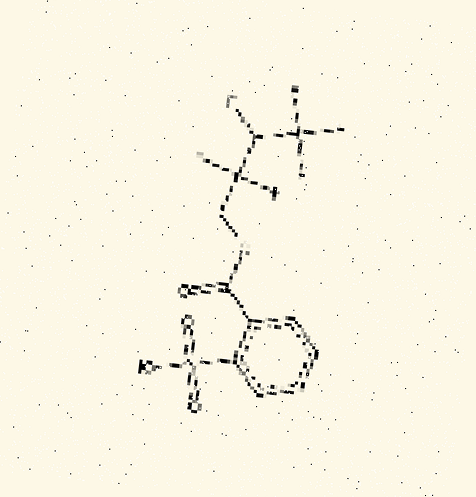 O=C(OCC(F)(F)C(F)C(F)(F)F)c1ccccc1S(=O)(=O)O